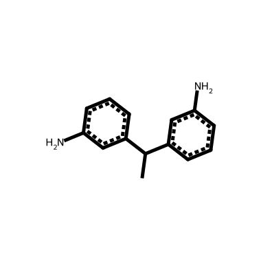 CC(c1cccc(N)c1)c1cccc(N)c1